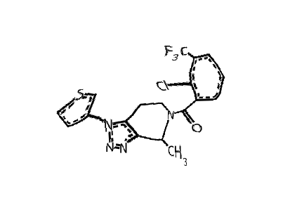 CC1c2nnn(-c3ccsc3)c2CCN1C(=O)c1cccc(C(F)(F)F)c1Cl